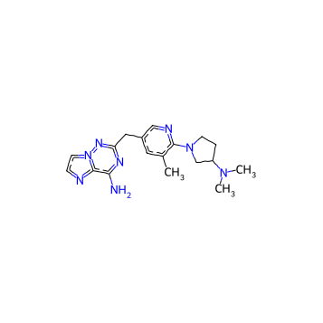 Cc1cc(Cc2nc(N)c3nccn3n2)cnc1N1CCC(N(C)C)C1